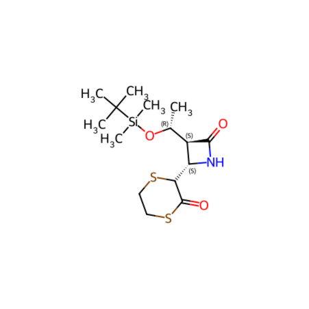 C[C@@H](O[Si](C)(C)C(C)(C)C)[C@H]1C(=O)N[C@@H]1C1SCCSC1=O